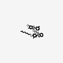 CCCCCCCCOc1cc(O)c(-n2nc3ccccc3n2)cc1C.Cc1ccc(O)c(-n2nc3cc(C)c(Cl)cc3n2)c1